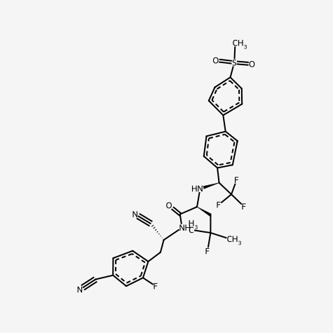 CC(C)(F)C[C@H](N[C@@H](c1ccc(-c2ccc(S(C)(=O)=O)cc2)cc1)C(F)(F)F)C(=O)N[C@@H](C#N)Cc1ccc(C#N)cc1F